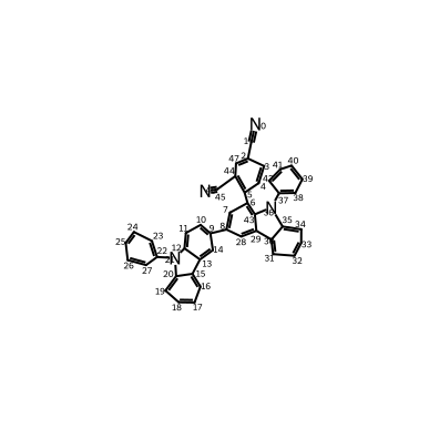 N#Cc1ccc(-c2cc(-c3ccc4c(c3)c3ccccc3n4-c3ccccc3)cc3c4ccccc4n(-c4ccccc4)c23)c(C#N)c1